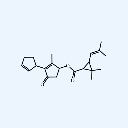 CC(C)=CC1C(C(=O)OC2CC(=O)C(C3C=CCC3)=C2C)C1(C)C